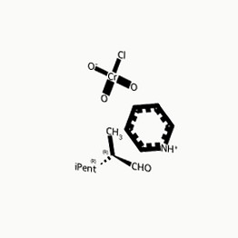 CCC[C@@H](C)[C@@H](C)C=O.[O]=[Cr](=[O])([O-])[Cl].c1cc[nH+]cc1